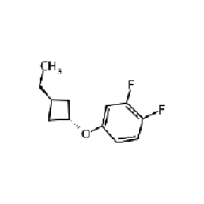 CC[C@H]1C[C@H](Oc2ccc(F)c(F)c2)C1